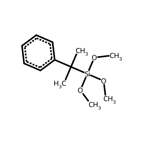 CO[Si](OC)(OC)C(C)(C)c1ccccc1